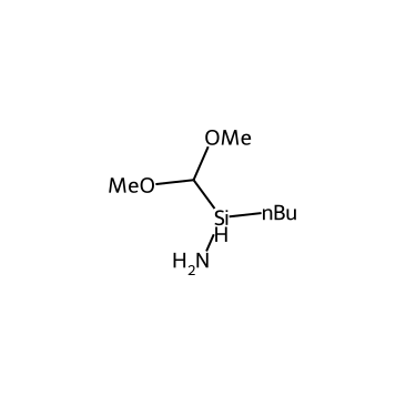 CCCC[SiH](N)C(OC)OC